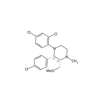 COC[C@@H]1[C@H](c2ccc(Cl)cc2)N(c2ccc(Cl)cc2Cl)CCN1C